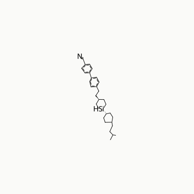 CC(C)CCC1CCC([Si@H]2CC[C@H](CCc3ccc(-c4ccc(C#N)cc4)cc3)CC2)CC1